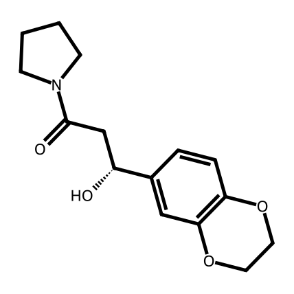 O=C(C[C@@H](O)c1ccc2c(c1)OCCO2)N1CCCC1